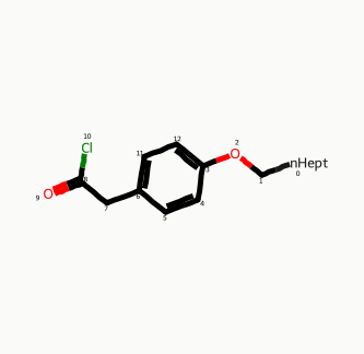 CCCCCCCCOc1ccc(CC(=O)Cl)cc1